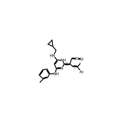 CC(=O)/C(C)=C/C(C=C=O)=C1\N=C(Nc2cccc(C)c2)C=C(NCC2CC2)N1